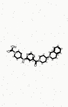 O=C(O)N1CCC(Nc2cc(C(=O)N3CCC(N4CCc5ccccc5C4)CC3)ncn2)CC1